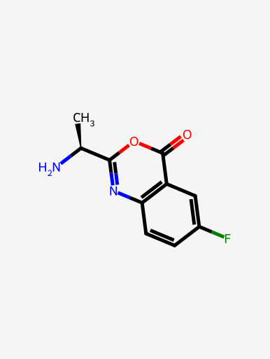 C[C@H](N)c1nc2ccc(F)cc2c(=O)o1